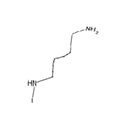 NCCCCNI